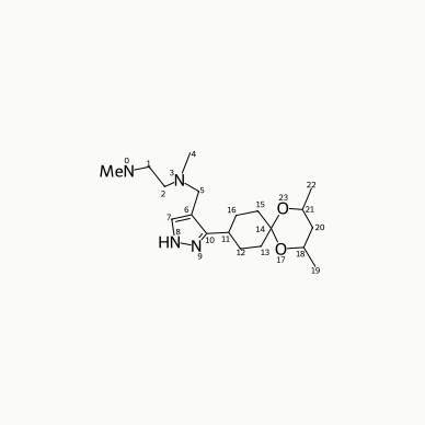 CNCCN(C)Cc1c[nH]nc1C1CCC2(CC1)OC(C)CC(C)O2